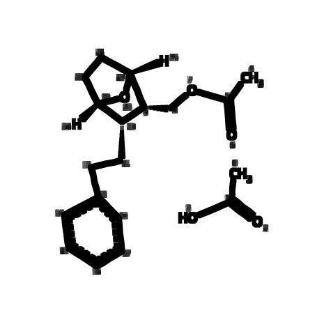 CC(=O)O.CC(=O)OC[C@@H]1[C@H](CCc2ccccc2)[C@@H]2CC[C@H]1O2